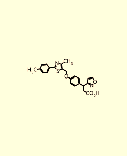 Cc1ccc(-c2nc(C)c(COc3ccc(C(CC(=O)O)c4ccon4)cc3)s2)cc1